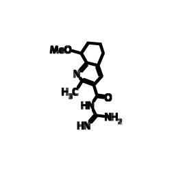 COC1CCCc2cc(C(=O)NC(=N)N)c(C)nc21